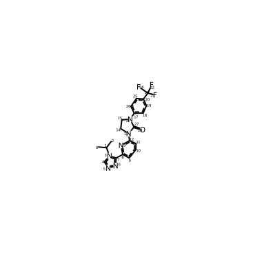 CC(C)n1cnnc1-c1cccc(N2CCN(c3ccc(C(F)(F)F)cc3)C2=O)n1